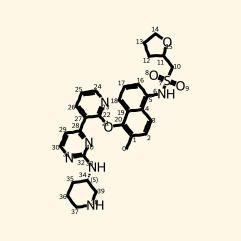 Cc1ccc2c(NS(=O)(=O)CC3CCCO3)cccc2c1Oc1ncccc1-c1ccnc(N[C@H]2CCCNC2)n1